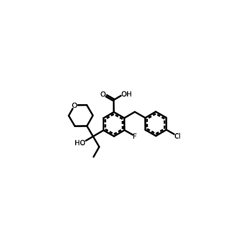 CCC(O)(c1cc(F)c(Cc2ccc(Cl)cc2)c(C(=O)O)c1)C1CCOCC1